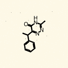 Cc1nnc(C(C)c2ccccc2)c(=O)[nH]1